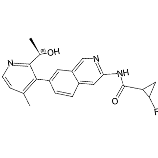 Cc1ccnc([C@@H](C)O)c1-c1ccc2cc(NC(=O)C3CC3F)ncc2c1